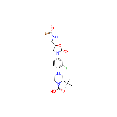 COC(=S)NCC1CN(c2ccc(N3CCN(C(=O)O)C(C(C)(C)C)C3)c(F)c2)C(=O)O1